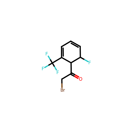 O=C(CBr)C1C(C(F)(F)F)=CC=CC1F